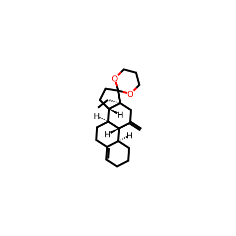 C=C1C[C@@]2(CC)[C@@H](CCC23OCCCO3)[C@@H]2CCC3=CCCC[C@@H]3[C@@H]12